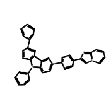 c1ccc(-c2ccc3c(c2)c2cc(-c4ccc(-c5cn6ccccc6n5)cc4)ccc2n3-c2ccccc2)cc1